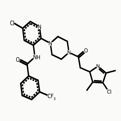 CC1=NC(CC(=O)N2CCN(c3ncc(Cl)cc3NC(=O)c3cccc(C(F)(F)F)c3)CC2)C(C)=C1Cl